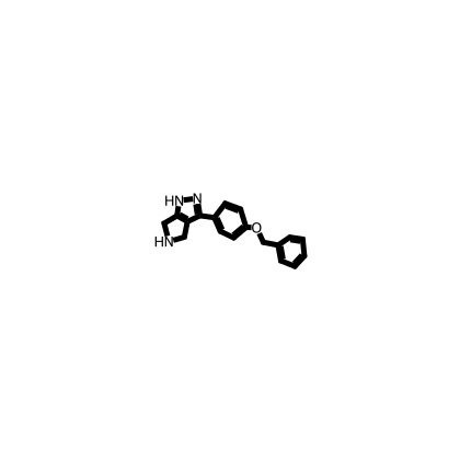 c1ccc(COc2ccc(-c3n[nH]c4c3CNC4)cc2)cc1